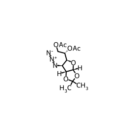 CC(=O)OC[C@H](OC(C)=O)[C@H]1O[C@@H]2OC(C)(C)O[C@@H]2[C@H]1N=[N+]=[N-]